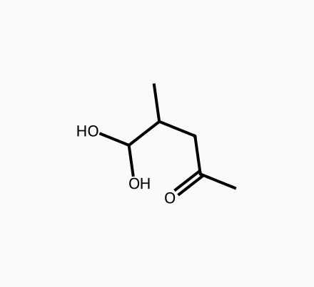 CC(=O)CC(C)C(O)O